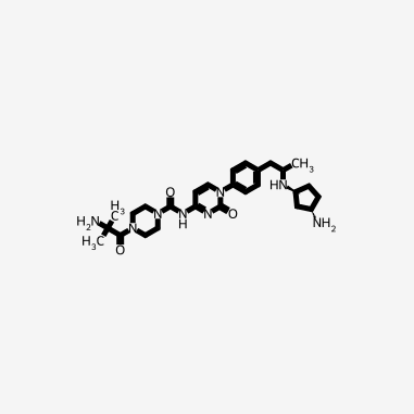 CC(Cc1ccc(-n2ccc(NC(=O)N3CCN(C(=O)C(C)(C)N)CC3)nc2=O)cc1)N[C@H]1CC[C@H](N)C1